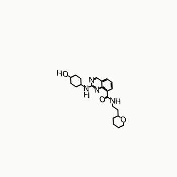 O=C(NCCC1CCCCO1)c1cccc2cnc(NC3CCC(O)CC3)nc12